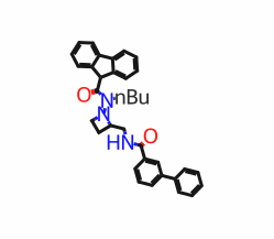 CCCCN(C(=O)C1c2ccccc2-c2ccccc21)N1CCC1CNC(=O)c1cccc(-c2ccccc2)c1